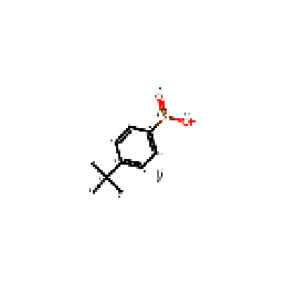 CC(C)(C)c1ccc(S(=O)O)cc1.[Li]